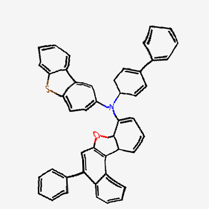 C1=CC2c3c(cc(-c4ccccc4)c4ccccc34)OC2C(N(c2ccc3sc4ccccc4c3c2)C2C=CC(c3ccccc3)=CC2)=C1